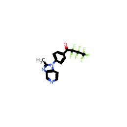 Cc1nc2cnccc2n1-c1ccc(C(=O)C(F)(F)C(F)(F)C(F)(F)F)cc1